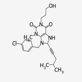 CC(C)CC#CC1Nc2c(n(C)c(=O)n(CCCO)c2=O)N1Cc1ccc(Cl)cc1